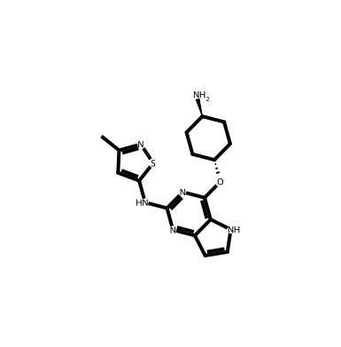 Cc1cc(Nc2nc(O[C@H]3CC[C@H](N)CC3)c3[nH]ccc3n2)sn1